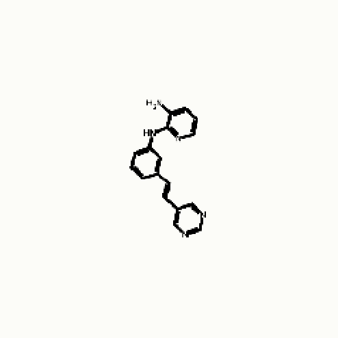 Nc1cccnc1Nc1cccc(C=Cc2cncnc2)c1